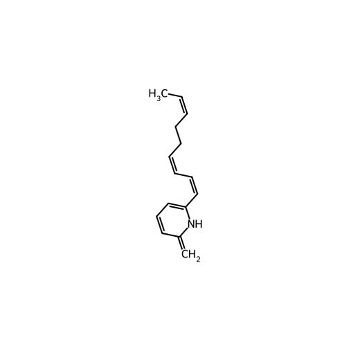 C=C1C=CC=C(/C=C\C=C/CC/C=C\C)N1